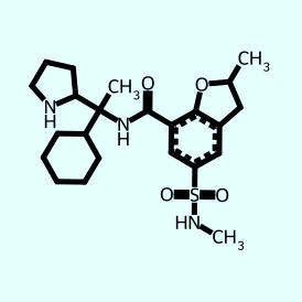 CNS(=O)(=O)c1cc2c(c(C(=O)NC(C)(C3CCCCC3)C3CCCN3)c1)OC(C)C2